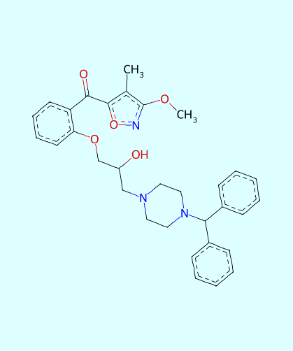 COc1noc(C(=O)c2ccccc2OCC(O)CN2CCN(C(c3ccccc3)c3ccccc3)CC2)c1C